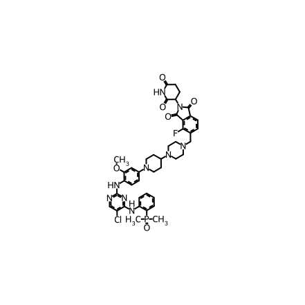 COc1cc(N2CCC(N3CCN(Cc4ccc5c(c4F)C(=O)N(C4CCC(=O)NC4=O)C5=O)CC3)CC2)ccc1Nc1ncc(Cl)c(Nc2ccccc2P(C)(C)=O)n1